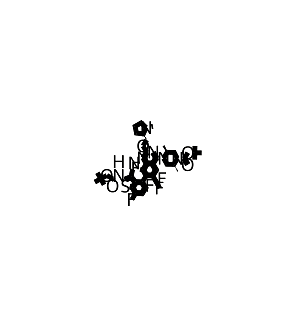 C[C@@H]1CN(c2nc(OC[C@@H]3CCCN3C)nc3c(F)c(-c4ccc(F)c5sc(NC(=O)OC(C)(C)C)c(C#N)c45)c(C(F)(F)F)cc23)[C@@H](C)CN1C(=O)OC(C)(C)C